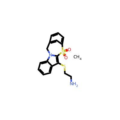 C.NCCSc1c2n(c3ccccc13)Cc1cccc(c1)S2(=O)=O